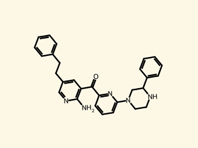 Nc1ncc(CCc2ccccc2)cc1C(=O)c1cccc(N2CCNC(c3ccccc3)C2)n1